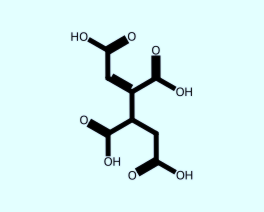 O=C(O)C=C(C(=O)O)C(CC(=O)O)C(=O)O